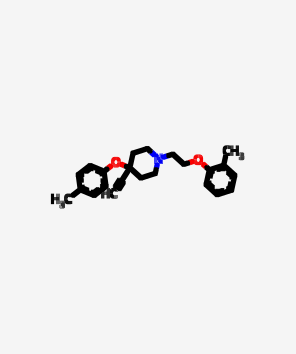 C#CC1(Oc2ccc(C)cc2)CCN(CCOc2ccccc2C)CC1